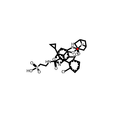 O=C(NCCS(=O)(=O)O)c1ccc(NC(=O)N2C3CC(OCc4c(-c5c(Cl)cccc5Cl)noc4C4CC4)CC2C3)c(F)c1